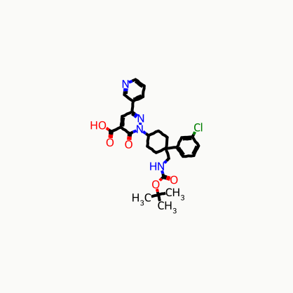 CC(C)(C)OC(=O)NCC1(c2cccc(Cl)c2)CCC(n2nc(-c3cccnc3)cc(C(=O)O)c2=O)CC1